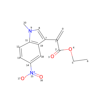 C=C(C(=O)OCC)c1cn(C)c2ccc([N+](=O)[O-])cc12